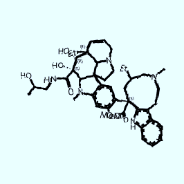 CCC1CN(C)CCc2c([nH]c3ccccc23)[C@@](C(=O)OC)(c2cc3c(cc2OC)N(C)C2C34CCN3CC=C[C@](CC)(C34)[C@@H](O)[C@]2(O)C(=O)NCC(C)O)C1